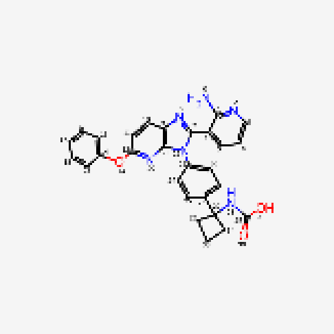 Nc1ncccc1-c1nc2ccc(Oc3ccccc3)nc2n1-c1ccc(C2(NC(=O)O)CCC2)cc1